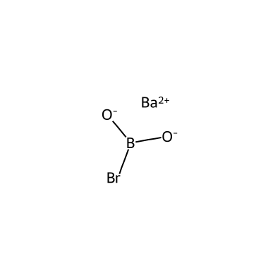 [Ba+2].[O-]B([O-])Br